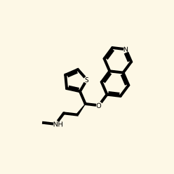 CNCC[C@H](Oc1ccc2cnccc2c1)c1cccs1